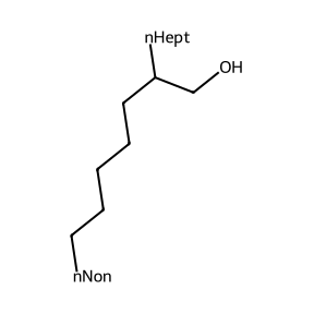 CCCCCCCCCCCCCCC(CO)CCCCCCC